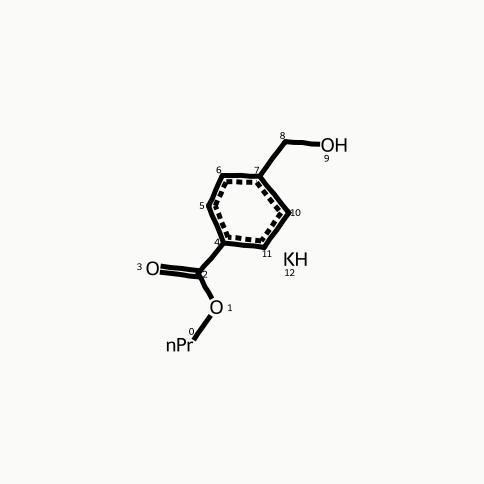 CCCOC(=O)c1ccc(CO)cc1.[KH]